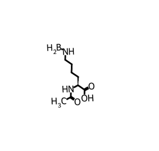 BNCCCC[C@H](NC(C)=O)C(=O)O